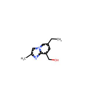 CCc1cc(CO)c2nc(C)cn2c1